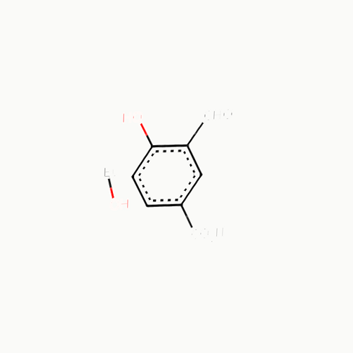 CCO.O=Cc1cc(C(=O)O)ccc1O